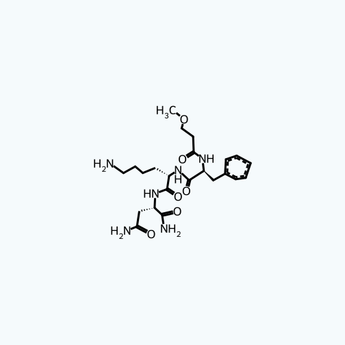 COCCC(=O)N[C@@H](Cc1ccccc1)C(=O)N[C@@H](CCCCN)C(=O)N[C@@H](CC(N)=O)C(N)=O